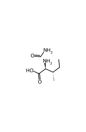 CC[C@H](C)[C@H](N)C(=O)O.NC=O